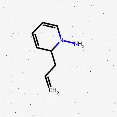 C=CCC1C=CC=CN1N